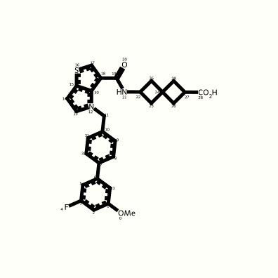 COc1cc(F)cc(-c2ccc(Cn3ccc4scc(C(=O)NC5CC6(C5)CC(C(=O)O)C6)c43)cc2)c1